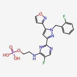 O=P(O)(O)OCCNc1nc(-c2cc(-c3ccon3)n(Cc3ccccc3F)n2)ncc1F